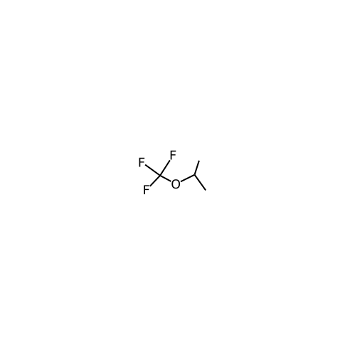 CC(C)OC(F)(F)F